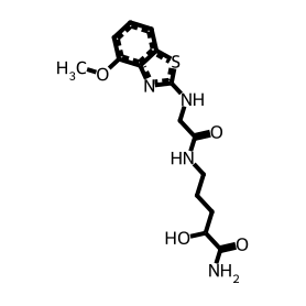 COc1cccc2sc(NCC(=O)NCCCC(O)C(N)=O)nc12